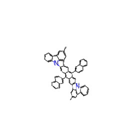 Cc1cc2c3ccccc3n3c4cc5c(-c6ccc7ccccc7c6)c6cc7c8cc(C)cc9c%10ccccc%10n(c7cc6c(-c6ccc7ccccc7c6)c5cc4c(c1)c23)c98